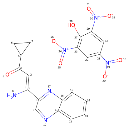 NC(=CC(=O)C1CC1)c1cnc2ccccc2n1.O=[N+]([O-])c1cc([N+](=O)[O-])c(O)c([N+](=O)[O-])c1